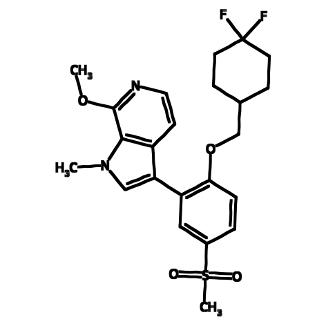 COc1nccc2c(-c3cc(S(C)(=O)=O)ccc3OCC3CCC(F)(F)CC3)cn(C)c12